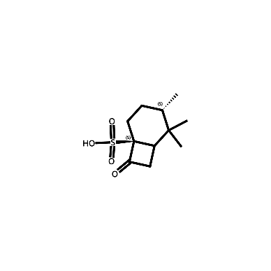 C[C@H]1CC[C@@]2(S(=O)(=O)O)C(=O)CC2C1(C)C